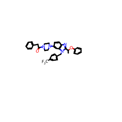 CC(Oc1ccccc1)c1nc2ccc(N3CCN(C(=O)Cc4ccccc4)CC3)cc2n1Cc1ccc(C(F)(F)F)cc1